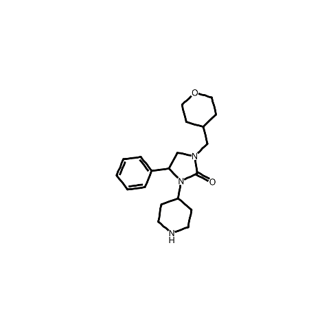 O=C1N(CC2CCOCC2)CC(c2ccccc2)N1C1CCNCC1